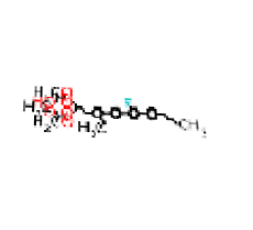 C=C(CO)C(=O)OCC(CCc1ccc(-c2ccc(-c3ccc(-c4ccc(CCCCC)cc4)cc3F)cc2)c(CC)c1)COC(=O)C(=C)COC